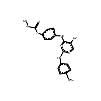 COc1ccc(Nc2ncc([N+](=O)[O-])c(Nc3ccc(OC(=O)NC(C)(C)C)cc3)n2)cc1